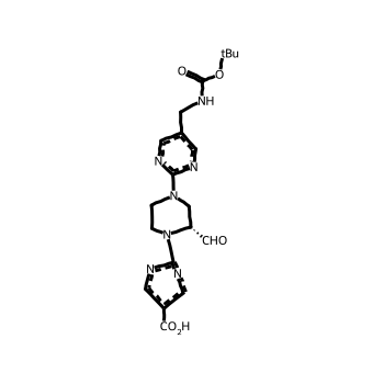 CC(C)(C)OC(=O)NCc1cnc(N2CCN(c3ncc(C(=O)O)cn3)[C@@H](C=O)C2)nc1